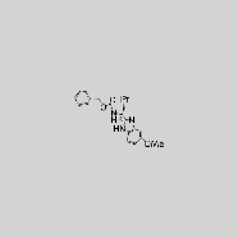 COc1ccc2[nH]c([C@H](CC(C)C)NC(=O)OCc3ccccc3)nc2c1